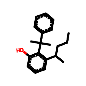 CCCC(C)c1cccc(O)c1C(C)(C)c1ccccc1